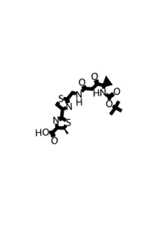 C[C@@H]1SC(C2CSC(CNC(=O)CC(=O)C3(NC(=O)OC(C)(C)C)CC3)=N2)=NC1C(=O)O